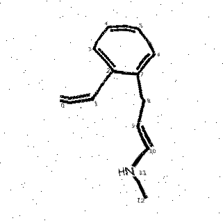 C=Cc1ccccc1CC=CNC